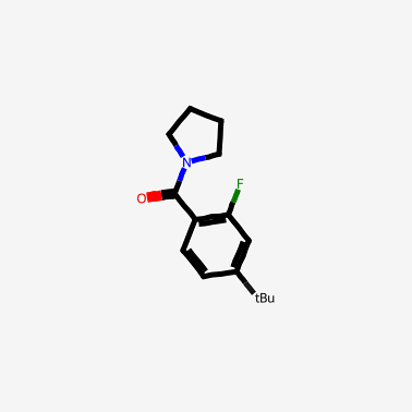 CC(C)(C)c1ccc(C(=O)N2CCCC2)c(F)c1